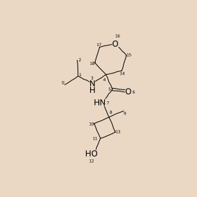 CC(C)NC1(C(=O)NC2(C)CC(O)C2)CCOCC1